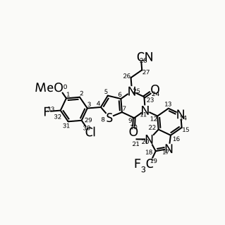 COc1cc(-c2cc3c(s2)c(=O)n(-c2cncc4nc(C(F)(F)F)n(C)c24)c(=O)n3CCC#N)c(Cl)cc1F